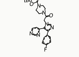 CC(C)(C)OC(=O)N1CCN(C(=O)Cn2cnc(-c3ccc(F)cc3)c2-c2ccncn2)CC1